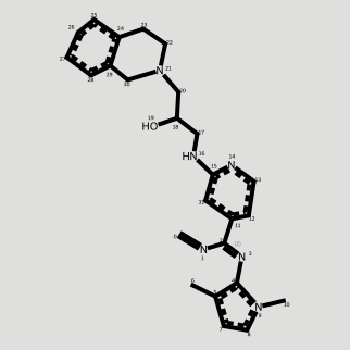 C=N/C(=N\c1c(C)ccn1C)c1ccnc(NCC(O)CN2CCc3ccccc3C2)c1